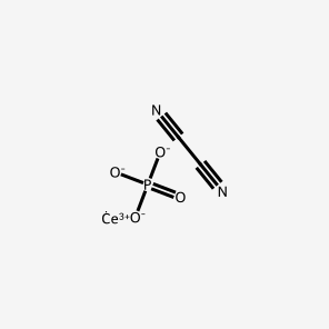 N#CC#N.O=P([O-])([O-])[O-].[Ce+3]